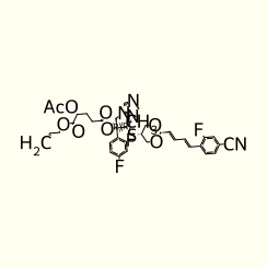 C=CCOC(=O)C(CCC(=O)O[C@@](Cn1cncn1)(c1ccc(F)cc1F)[C@@H](C)S[C@H]1CO[C@H](C=CC=Cc2ccc(C#N)cc2F)OC1)OC(C)=O